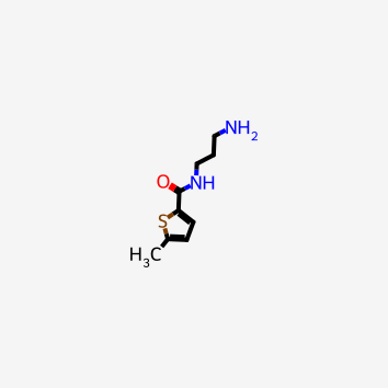 Cc1ccc(C(=O)NCCCN)s1